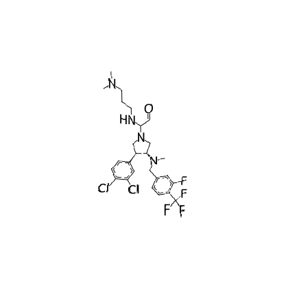 CN(C)CCCNC(C=O)N1C[C@H](c2ccc(Cl)c(Cl)c2)[C@H](N(C)Cc2ccc(C(F)(F)F)c(F)c2)C1